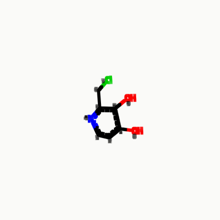 Oc1ccnc(CCl)c1O